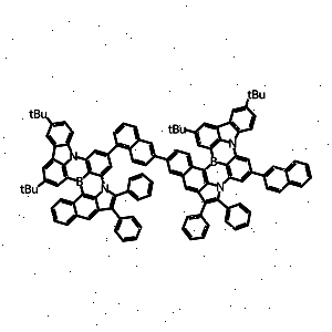 CC(C)(C)c1ccc2c(c1)c1cc(C(C)(C)C)cc3c1n2-c1cc(-c2cccc4cc(-c5ccc6c7c8c(cc6c5)c(-c5ccccc5)c(-c5ccccc5)n8-c5cc(-c6ccc8ccccc8c6)cc6c5B7c5cc(C(C)(C)C)cc7c8cc(C(C)(C)C)ccc8n-6c57)ccc24)cc2c1B3c1c3ccccc3cc3c(-c4ccccc4)c(-c4ccccc4)n-2c13